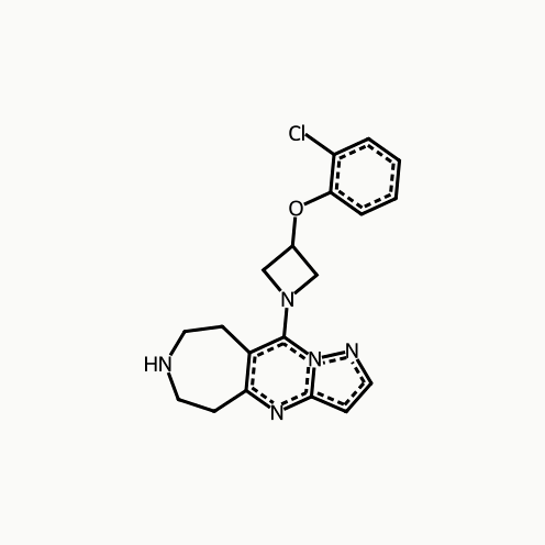 Clc1ccccc1OC1CN(c2c3c(nc4ccnn24)CCNCC3)C1